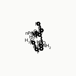 CCCNC(=O)c1c(N)c2cc(CCCNC(=O)c3c(N)c4cccc(-c5cc(OCc6ccc(C)nc6)ccc5F)c4[nH]c3=O)cc(-c3cccc(OCc4cccnc4)n3)c2[nH]c1=O